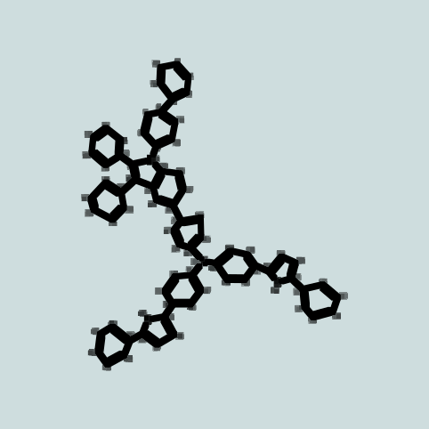 c1ccc(-c2ccc(-n3c(-c4ccccc4)c(-c4ccccc4)c4cc(-c5ccc(N(c6ccc(-c7ccc(-c8ccccc8)s7)cc6)c6ccc(-c7ccc(-c8ccccc8)s7)cc6)cc5)ccc43)cc2)cc1